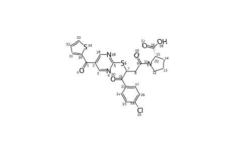 O=C(c1cnc(SC(CC(=O)N2CCC[C@H]2C(=O)O)C(=O)c2ccc(Cl)cc2)nc1)c1cccs1